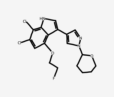 FCCOc1cc(Cl)c(Cl)c2[nH]cc(-c3cnn(C4CCCCO4)c3)c12